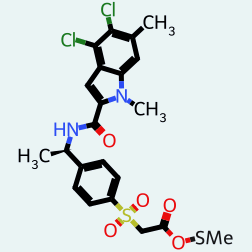 CSOC(=O)CS(=O)(=O)c1ccc([C@@H](C)NC(=O)c2cc3c(Cl)c(Cl)c(C)cc3n2C)cc1